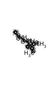 COc1ccc(C(OCC(O)CNC(=O)CCNC(=O)OCc2ccccc2)(c2ccccc2)c2ccc(OC)cc2)cc1